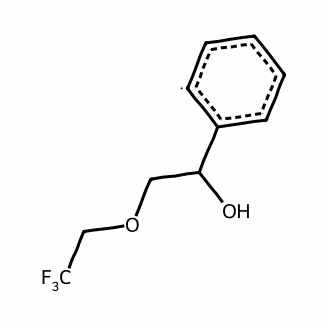 OC(COCC(F)(F)F)c1[c]cccc1